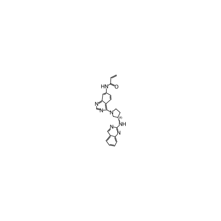 C=CC(=O)Nc1ccc2c(N3CC[C@@H](Nc4ncc5ccccc5n4)C3)ncnc2c1